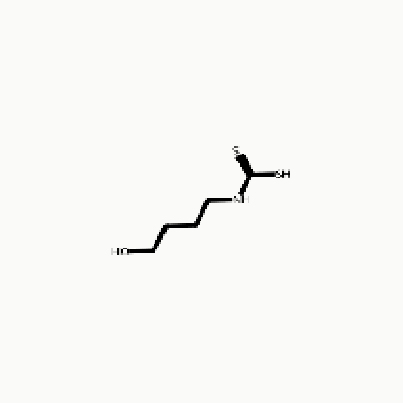 OCCCCNC(=S)S